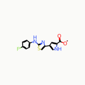 COC(=O)c1cc(-c2csc(Nc3ccc(F)cc3)n2)c[nH]1